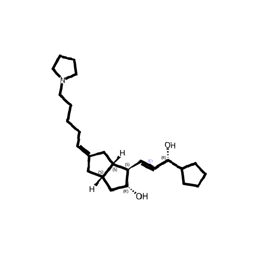 O[C@@H]1C[C@@H]2CC(=CCCCCN3CCCC3)C[C@@H]2[C@H]1/C=C/[C@H](O)C1CCCC1